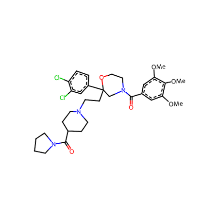 COc1cc(C(=O)N2CCOC(CCN3CCC(C(=O)N4CCCC4)CC3)(c3ccc(Cl)c(Cl)c3)C2)cc(OC)c1OC